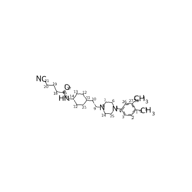 Cc1ccc(N2CCN(CCC3CCC(NC(=O)CCCC#N)CC3)CC2)cc1C